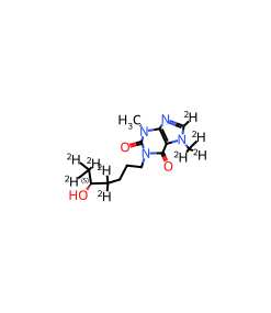 [2H]c1nc2c(c(=O)n(CCCC([2H])([2H])[C@@H](O)C([2H])([2H])[2H])c(=O)n2C)n1C([2H])([2H])[2H]